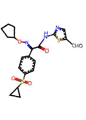 O=Cc1cnc(NC(=O)/C(=N/OC2CCCC2)c2ccc(S(=O)(=O)C3CC3)cc2)s1